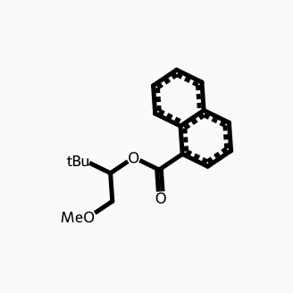 COCC(OC(=O)c1cccc2ccccc12)C(C)(C)C